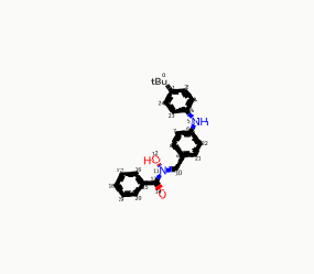 CC(C)(C)c1ccc(Nc2ccc(CN(O)C(=O)c3ccccc3)cc2)cc1